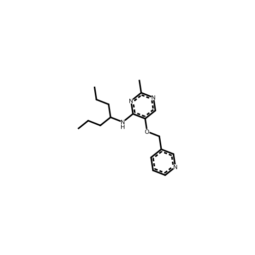 CCCC(CCC)Nc1nc(C)ncc1OCc1cccnc1